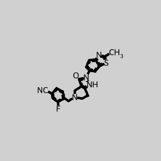 Cc1nc2ccc(-n3[nH]c4c(c3=O)CN(Cc3ccc(C#N)cc3F)CC4)cc2s1